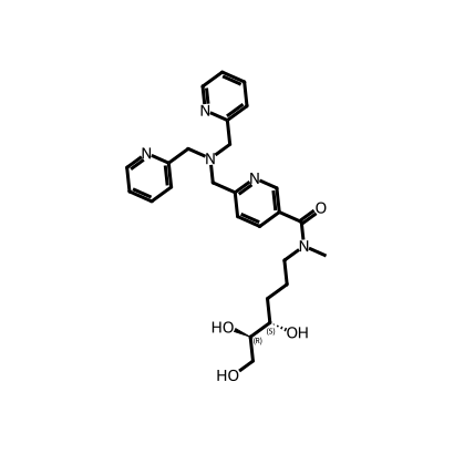 CN(CCC[C@H](O)[C@H](O)CO)C(=O)c1ccc(CN(Cc2ccccn2)Cc2ccccn2)nc1